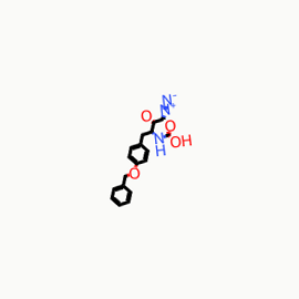 [N-]=[N+]=CC(=O)C(Cc1ccc(OCc2ccccc2)cc1)NC(=O)O